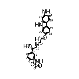 CS(=O)(=O)Nc1cccc([C@@H](O)CNCCOc2ccc3c(c2)[nH]c2cc(N)ccc23)c1